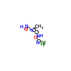 C[C@H]1CN(CCC(N)=O)Cc2cc(NC(=O)c3cncc(CC(F)(F)F)c3)ccc21